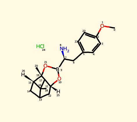 COc1ccc(C[C@H](N)B2O[C@@H]3CC4C[C@@H](C4(C)C)[C@]3(C)O2)cc1.Cl